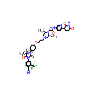 C[C@@H]1CN(CCCO[C@H]2CC[C@H](N3C(=S)N(c4ccc(C#N)c(C(F)(F)F)c4)C(=O)C3(C)C)CC2)C[C@H](C)N1CC(=O)Nc1ccc(C2CCC(=O)NC2=O)nc1